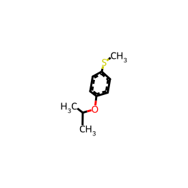 CSc1ccc(OC(C)C)cc1